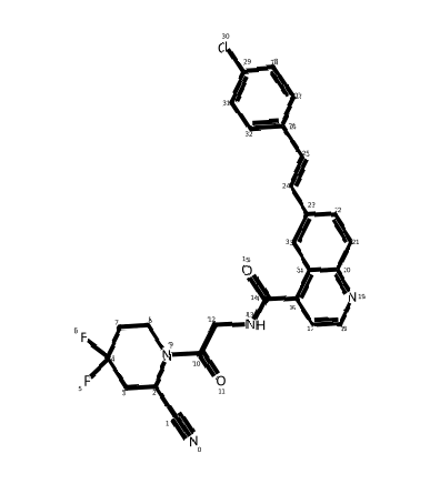 N#CC1CC(F)(F)CCN1C(=O)CNC(=O)c1ccnc2ccc(C=Cc3ccc(Cl)cc3)cc12